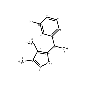 Cc1noc(C(O)c2cccc(F)c2)c1C(=O)O